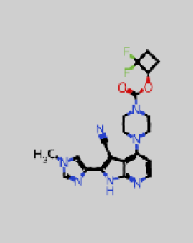 Cn1cnc(-c2[nH]c3nccc(N4CCN(C(=O)O[C@@H]5CCC5(F)F)CC4)c3c2C#N)c1